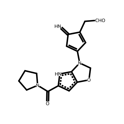 N=C1C=C(N2COc3cc(C(=O)N4CCCC4)[nH]c32)C=C1CC=O